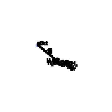 C=C(CCCCC(CCCCCCCCCC/C=C\CCCCCCCC)CN1CCCCC1)C1CCCN1C(=C)CC1CCC2(C)C(=CCC3C2CCC2(C)C(C(C)CCCC(C)C)CCC32)C1